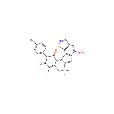 CC1=C2CC(C)(C)C3=Cc4c(O)cc5c(c4C3=C2C(=O)C(c2ccc(Br)cc2)C1=O)CN=C5